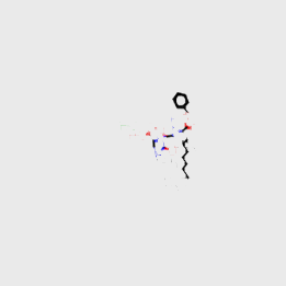 CCCCCCCC[C@H](N[C@H](C)C(=O)N1C(=O)N(C)C[C@H]1C(=O)O)C(=O)OCc1ccccc1.Cl